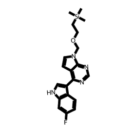 C[Si](C)(C)CCOCn1ccc2c(-c3c[nH]c4cc(F)ccc34)ncnc21